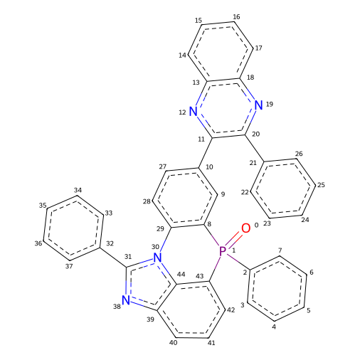 O=P1(c2ccccc2)c2cc(-c3nc4ccccc4nc3-c3ccccc3)ccc2-n2c(-c3ccccc3)nc3cccc1c32